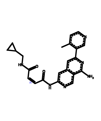 Cc1ccncc1-c1cc2cc(NC(=O)/C=C\C(=O)NCC3CC3)ncc2c(N)n1